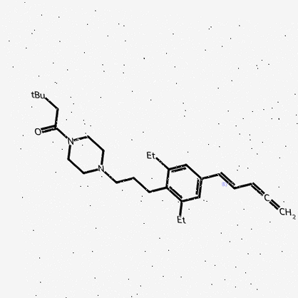 C=C=C/C=C/c1cc(CC)c(CCCN2CCN(C(=O)CC(C)(C)C)CC2)c(CC)c1